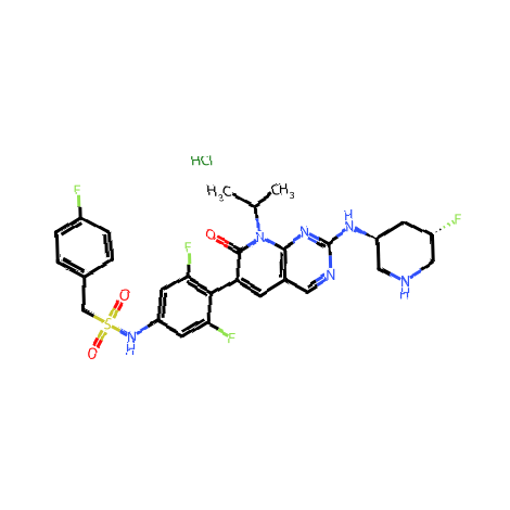 CC(C)n1c(=O)c(-c2c(F)cc(NS(=O)(=O)Cc3ccc(F)cc3)cc2F)cc2cnc(N[C@@H]3CNC[C@@H](F)C3)nc21.Cl